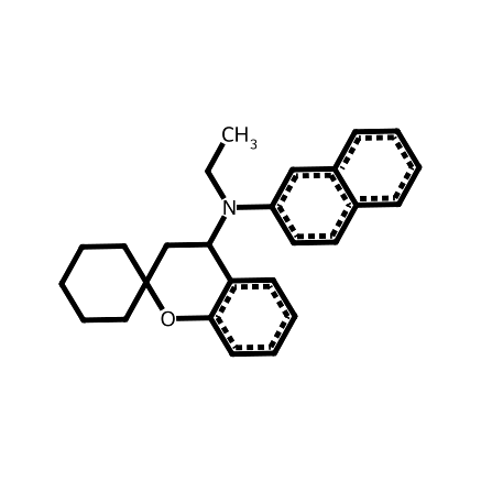 CCN(c1ccc2ccccc2c1)C1CC2(CCCCC2)Oc2ccccc21